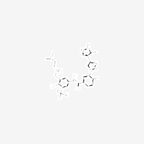 Cc1ccc(C(=O)Nc2cc(CNCCN(C)C)c(Cl)c(C(F)(F)F)c2)cc1-n1cc(-c2cnn(C)c2C)nn1